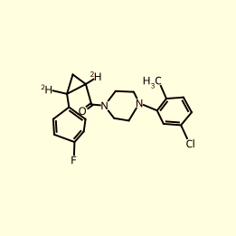 [2H]C1(C(=O)N2CCN(c3cc(Cl)ccc3C)CC2)CC1([2H])c1ccc(F)cc1